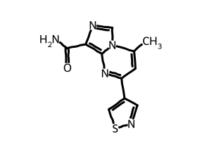 Cc1cc(-c2cnsc2)nc2c(C(N)=O)ncn12